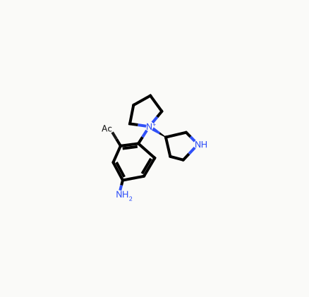 CC(=O)c1cc(N)ccc1[N+]1([C@@H]2CCNC2)CCCC1